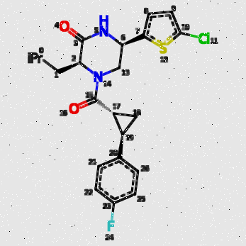 CC(C)C[C@H]1C(=O)N[C@@H](c2ccc(Cl)s2)CN1C(=O)[C@@H]1C[C@H]1c1ccc(F)cc1